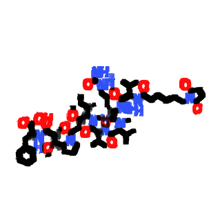 CC[C@H](C)[C@@H]([C@@H](CC(=O)N1CCC[C@H]1[C@H](OC)[C@@H](C)C(=O)N[C@@H](Cc1ccccc1)C(=O)O)OC)N(C)C(=O)[C@@H](NC(=O)C(C(C)C)N(C)C(=O)[C@H](CCCNC(N)=O)NC(=O)C(NC(=O)CCCCCN1C(=O)C=CC1=O)C(C)C)C(C)C